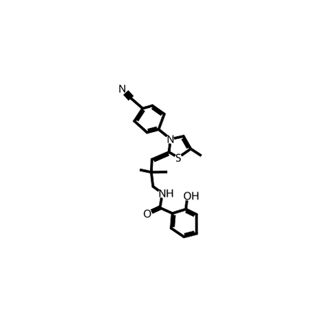 CC1=CN(c2ccc(C#N)cc2)C(=CC(C)(C)CNC(=O)c2ccccc2O)S1